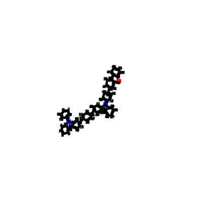 c1ccc(-n2c3ccccc3c3ccc(-c4ccc(-c5ccc6c(c5)c5ccccc5n6-c5ccc(-c6ccc7c(c6)oc6ccccc67)cc5)cc4)cc32)cc1